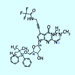 CN(C)/C=N\c1nc2c(c(C#CCNC(=O)C(F)(F)F)cn2[C@H]2CC(O)[C@@H](CO[Si](c3ccccc3)(c3ccccc3)C(C)(C)C)O2)c(=O)[nH]1